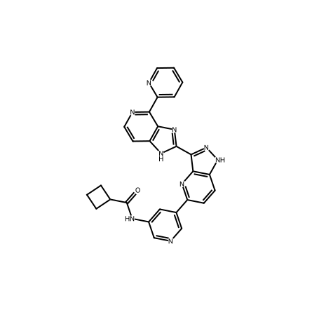 O=C(Nc1cncc(-c2ccc3[nH]nc(-c4nc5c(-c6ccccn6)nccc5[nH]4)c3n2)c1)C1CCC1